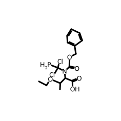 CCOC(C)C(C(=O)O)N(C(=O)OCc1ccccc1)C(P)(Cl)Cl